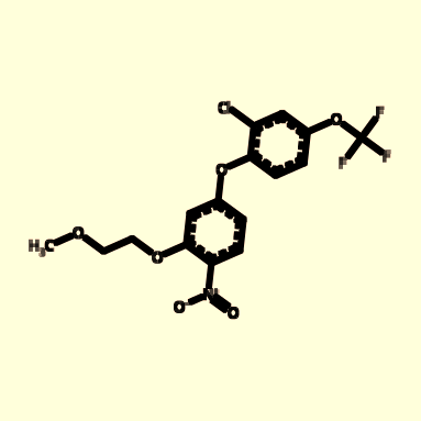 COCCOc1cc(Oc2ccc(OC(F)(F)F)cc2Cl)ccc1[N+](=O)[O-]